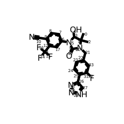 CC1(C)C(O)N(c2ccc(C#N)c(C(F)(F)F)c2)C(=O)N1Cc1ccc(-c2c[nH]nn2)c(F)c1